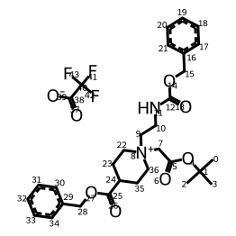 CC(C)(C)OC(=O)C[N+]1(CCNC(=O)OCc2ccccc2)CCC(C(=O)OCc2ccccc2)CC1.O=C([O-])C(F)(F)F